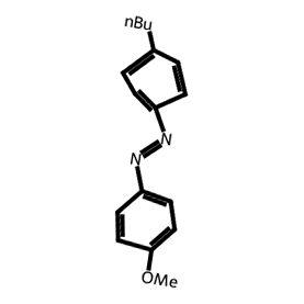 CCCCc1ccc(N=Nc2ccc(OC)cc2)cc1